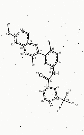 CSc1ncc2cc(-c3cc(NC(=O)c4ccnc(C(F)(F)F)c4)ccc3C)c(C)nc2n1